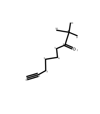 C#CCCCCC(=O)C(C)(C)C